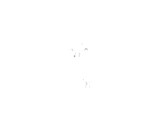 COC(=O)[C@H](CCCCCCCc1ccc2c(n1)NCCC2)NC(=O)C1C[C@@H](C)O[C@@H](C)C1